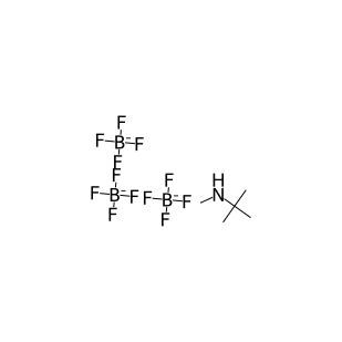 CNC(C)(C)C.F[B-](F)(F)F.F[B-](F)(F)F.F[B-](F)(F)F